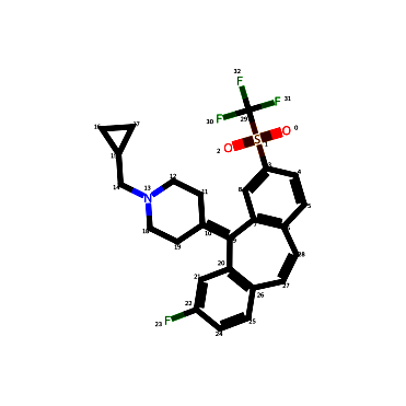 O=S(=O)(c1ccc2c(c1)C(=C1CCN(CC3CC3)CC1)c1cc(F)ccc1C=C2)C(F)(F)F